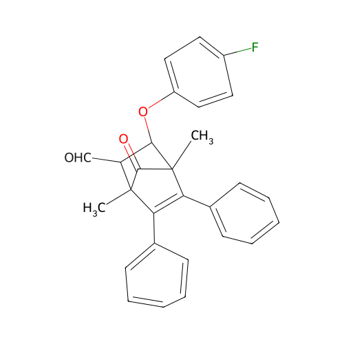 CC12C(=O)C(C)(C(c3ccccc3)=C1c1ccccc1)C(Oc1ccc(F)cc1)C2C=O